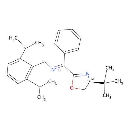 CC(C)c1cccc(C(C)C)c1C/N=C(/C1=N[C@@H](C(C)(C)C)CO1)c1ccccc1